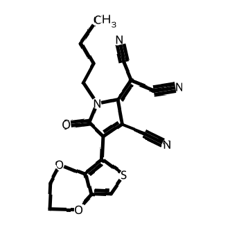 CCCCN1C(=O)C(c2scc3c2OCCO3)=C(C#N)C1=C(C#N)C#N